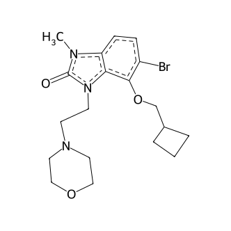 Cn1c(=O)n(CCN2CCOCC2)c2c(OCC3CCC3)c(Br)ccc21